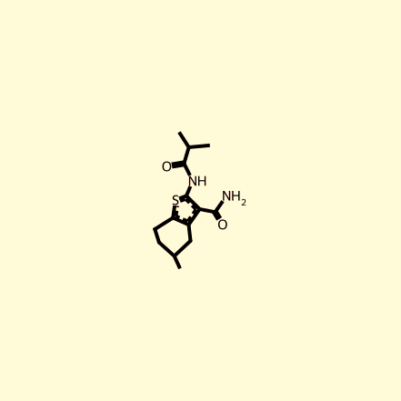 CC1CCc2sc(NC(=O)C(C)C)c(C(N)=O)c2C1